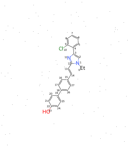 CCn1cc(-c2ccccc2Cl)nc1/C=C/c1ccc(-c2ccc(O)cc2)cc1